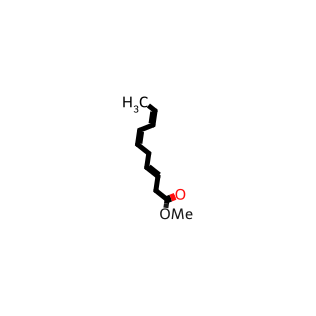 C/C=C\C=C/C/C=C/CC(=O)OC